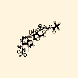 CN(NS(C)(=O)=O)c1ncnc2c1ncn2C1OC2COP(=O)(OCOC(=O)C(C)(C)C)O[C@H]2[C@@]1(C)O